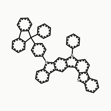 c1ccc(-n2c3cc4c(cc3c3c5sc6ccccc6c5ccc32)c2ccccc2n4-c2ccc(C3(c4ccccc4)c4ccccc4-c4ccccc43)cc2)cc1